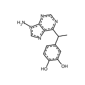 CC(c1ccc(O)c(O)c1)c1ncnc2c1ncn2N